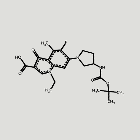 CCn1cc(C(=O)O)c(=O)c2c(C)c(F)c(N3CCC(NC(=O)OC(C)(C)C)C3)cc21